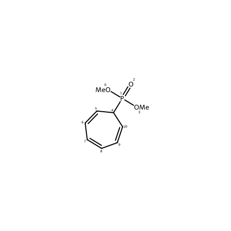 COP(=O)(OC)C1C=CC=CC=C1